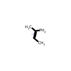 C/C=C(/C)P